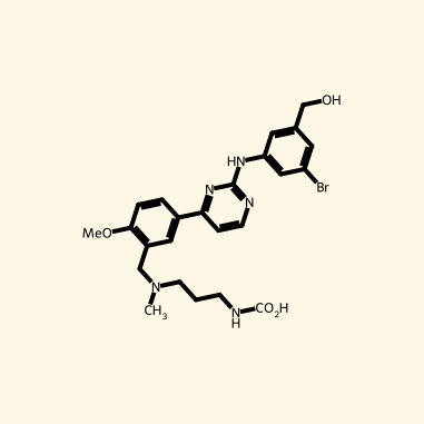 COc1ccc(-c2ccnc(Nc3cc(Br)cc(CO)c3)n2)cc1CN(C)CCCNC(=O)O